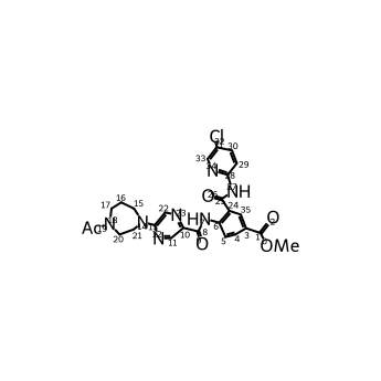 COC(=O)c1ccc(NC(=O)c2cnc(N3CCCN(C(C)=O)CC3)cn2)c(C(=O)Nc2ccc(Cl)cn2)c1